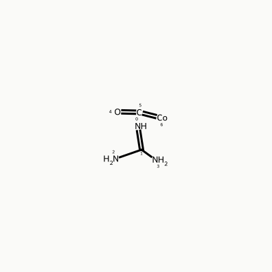 N=C(N)N.O=[C]=[Co]